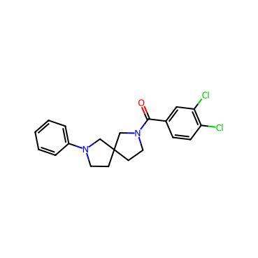 O=C(c1ccc(Cl)c(Cl)c1)N1CCC2(CCN(c3ccccc3)C2)C1